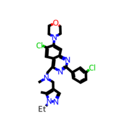 CCn1ncc(CN(C)Cc2nc(-c3cccc(Cl)c3)nc3cc(N4CCOCC4)c(Cl)cc23)c1C